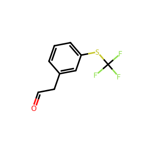 O=CCc1cccc(SC(F)(F)F)c1